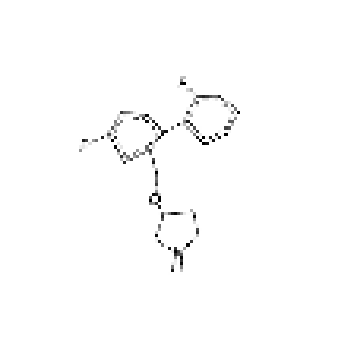 Fc1ccc(-c2ccccc2F)c(COC2CCNC2)c1